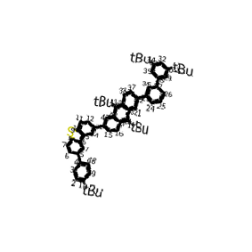 CC(C)(C)c1ccc(-c2ccc3sc4ccc(-c5ccc6c(C(C)(C)C)c7cc(-c8cccc(-c9cc(C(C)(C)C)cc(C(C)(C)C)c9)c8)ccc7c(C(C)(C)C)c6c5)cc4c3c2)cc1